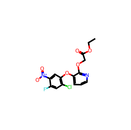 CCOC(=O)COc1ncccc1Oc1cc([N+](=O)[O-])c(F)cc1Cl